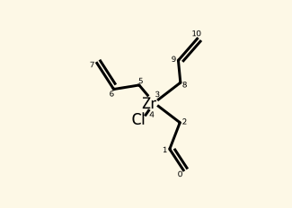 C=C[CH2][Zr]([Cl])([CH2]C=C)[CH2]C=C